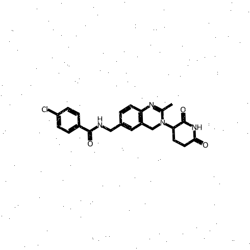 CC1=Nc2ccc(CNC(=O)c3ccc(Cl)cc3)cc2CN1C1CCC(=O)NC1=O